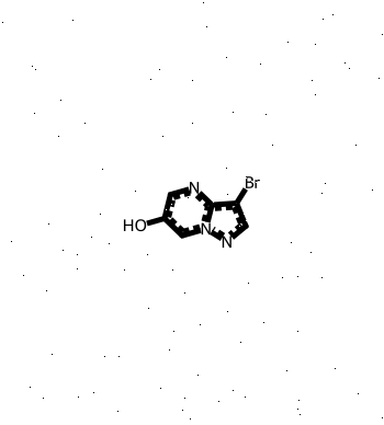 Oc1cnc2c(Br)cnn2c1